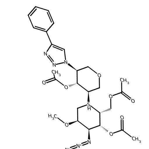 CO[C@H]1C[SH]([C@@H]2COC[C@H](n3cc(-c4ccccc4)nn3)[C@H]2OC(C)=O)[C@H](COC(C)=O)[C@H](OC(C)=O)[C@H]1N=[N+]=[N-]